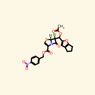 CC(=O)OC(c1cc2c(o1)CCC2)C1(Br)C(=O)N2C(C(=O)OCc3ccc([N+](=O)[O-])cc3)=CS[C@@H]21